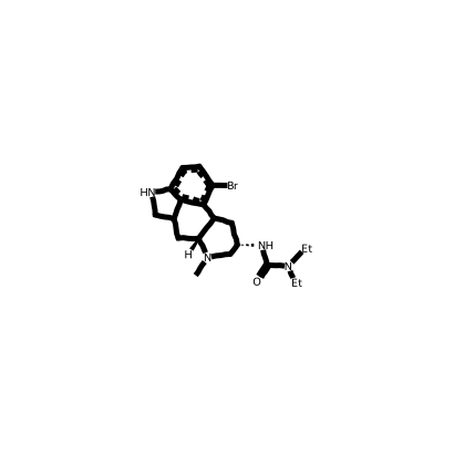 CCN(CC)C(=O)N[C@H]1CC2c3c(Br)ccc4c3C(CN4)C[C@H]2N(C)C1